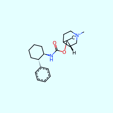 C[N+]12CCC(CC1)[C@@H](OC(=O)N[C@@H]1CCCC[C@H]1c1ccccc1)C2